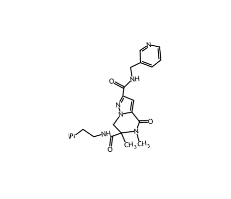 CC(C)CCNC(=O)C1(C)Cn2nc(C(=O)NCc3cccnc3)cc2C(=O)N1C